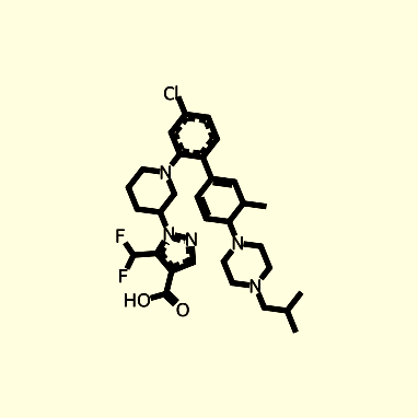 CC(C)CN1CCN(C2C=CC(c3ccc(Cl)cc3N3CCCC(n4ncc(C(=O)O)c4C(F)F)C3)=CC2C)CC1